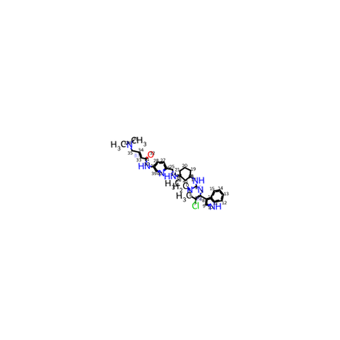 C=N/C(=N\C(=C(/C)Cl)c1c[nH]c2ccccc12)N[C@@H]1CCC[C@](C)(NCc2ccc(NC(=O)/C=C/CN(C)C)cn2)C1